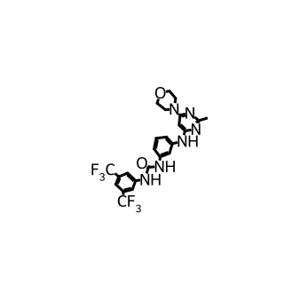 Cc1nc(Nc2cccc(NC(=O)Nc3cc(C(F)(F)F)cc(C(F)(F)F)c3)c2)cc(N2CCOCC2)n1